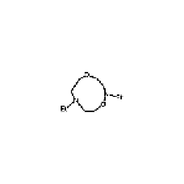 CCN1CCOCCN(CC)OCC1